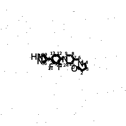 O=C1CCCN1CC1CCN(c2ccc(-c3cn[nH]c3)c(F)c2F)CC1